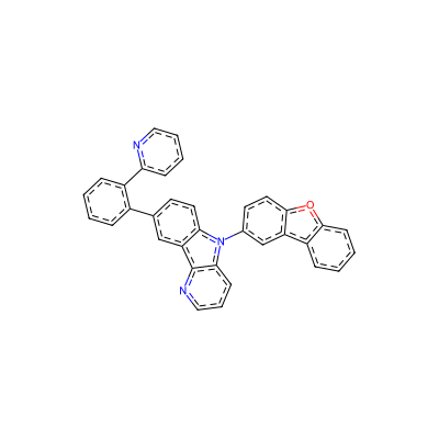 c1ccc(-c2ccccc2-c2ccc3c(c2)c2ncccc2n3-c2ccc3oc4ccccc4c3c2)nc1